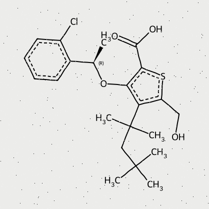 C[C@@H](Oc1c(C(=O)O)sc(CO)c1C(C)(C)CC(C)(C)C)c1ccccc1Cl